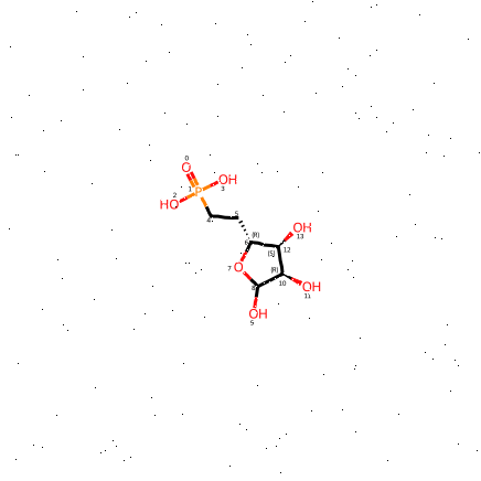 O=P(O)(O)CC[C@H]1OC(O)[C@H](O)[C@@H]1O